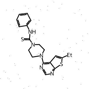 CCc1cc2c(N3CCN(C(=S)Nc4ccccc4)CC3)ncnc2s1